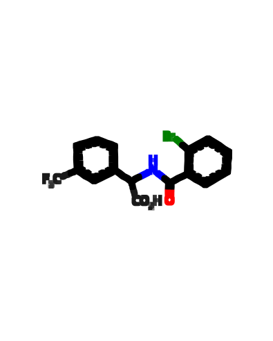 O=C(NC(C(=O)O)c1cccc(C(F)(F)F)c1)c1ccccc1Br